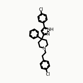 Clc1ccc(CCN2CCC(c3ccccc3)(c3cc(-c4ccc(Cl)cc4)[nH]n3)CC2)cc1